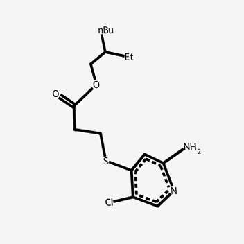 CCCCC(CC)COC(=O)CCSc1cc(N)ncc1Cl